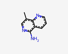 Cc1cnc(N)c2cccnc12